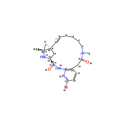 CN1CCCC/C=C/[C@@]23C[C@H](N[C@@H]2C3)C(=O)Nc2nc(Br)ccc2CC1=O